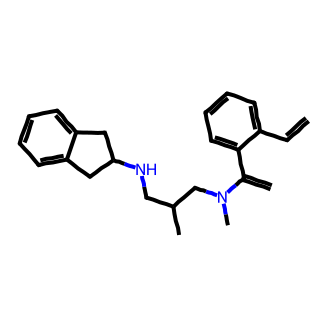 C=Cc1ccccc1C(=C)N(C)CC(C)CNC1Cc2ccccc2C1